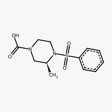 C[C@H]1CN(C(=O)O)CCN1S(=O)(=O)c1ccccc1